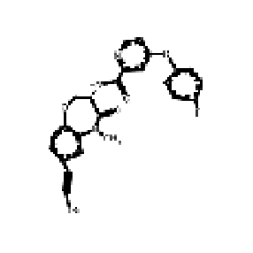 [CH2]C(C)(C)C#Cc1ccc2c(c1)N(C)C(=O)[C@@H](NC(=O)c1cc(Oc3ccc(F)cc3)ccn1)CO2